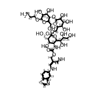 N=N/C(=C\Nc1ccc2scnc2c1)COC(=O)N[C@H]1C([C@H](O)[C@H](O)CO)O[C@@](OCC2O[C@@H](O[C@@H]3C(CO)O[C@@H](OCCN)C(O)[C@@H]3O)C(O)[C@@H](O)[C@H]2O)(C(=O)O)C[C@H]1O